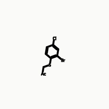 CC(=O)CSc1ccc(Cl)cc1Br